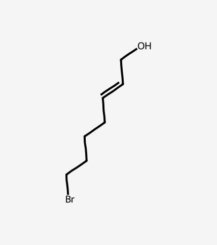 OCC=CCCCCBr